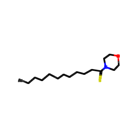 CC(=O)CCCCCCCCCCC(=S)N1CCOCC1